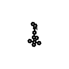 c1ccc(-c2c3c(c(-c4ccccc4)c4ccccc24)-c2ccc(-c4ccc(-c5cn6c(ccc7ccccc76)n5)cc4)c4cccc-3c24)cc1